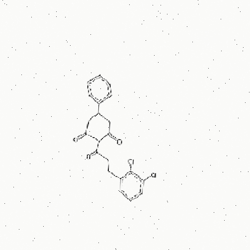 O=C(CCc1cccc(Cl)c1Cl)C1C(=O)CC(c2ccccc2)CC1=O